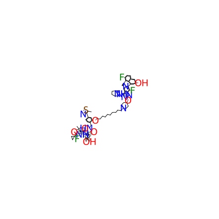 C#Cc1c(F)ccc2cc(O)cc(-c3ncc4c(N5CC6CCC(C5)N6)nc(OC5CCN(CCCCCCCCCCOc6cc(-c7ncsc7C)ccc6CNC(=O)[C@@H]6C[C@@H](O)CN6C(=O)[C@@H](NC(=O)C6(F)CC6)C(C)(C)C)CC5)nc4c3F)c12